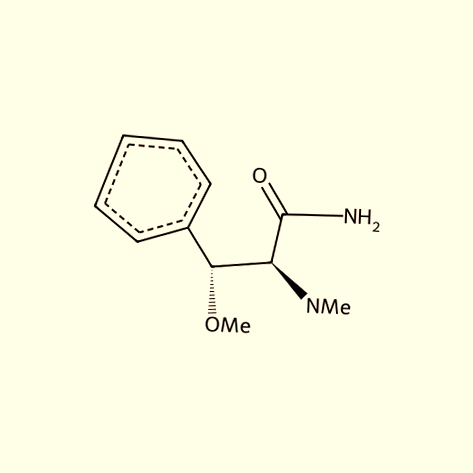 CN[C@H](C(N)=O)[C@H](OC)c1ccccc1